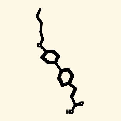 CCCCCOc1ccc(-c2ccc(C=CC(=O)O)cc2)cc1